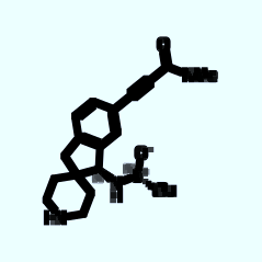 CNC(=O)C#Cc1ccc2c(c1)[C@@H](N[S@+]([O-])C(C)(C)C)C1(CCNCC1)C2